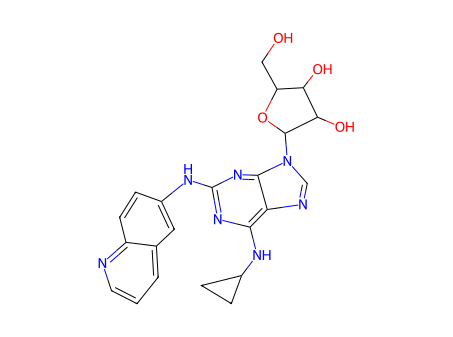 OCC1OC(n2cnc3c(NC4CC4)nc(Nc4ccc5ncccc5c4)nc32)C(O)C1O